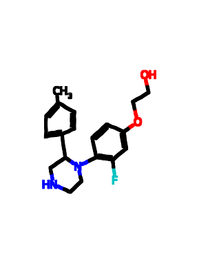 Cc1ccc(C2CNCCN2c2ccc(OCCO)cc2F)cc1